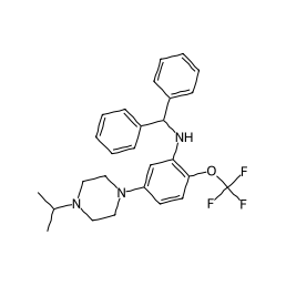 CC(C)N1CCN(c2ccc(OC(F)(F)F)c(NC(c3ccccc3)c3ccccc3)c2)CC1